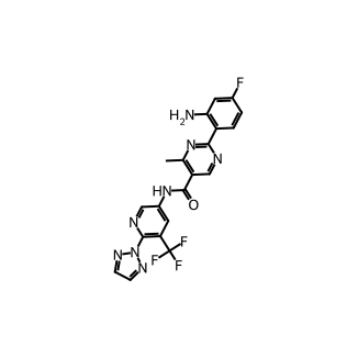 Cc1nc(-c2ccc(F)cc2N)ncc1C(=O)Nc1cnc(-n2nccn2)c(C(F)(F)F)c1